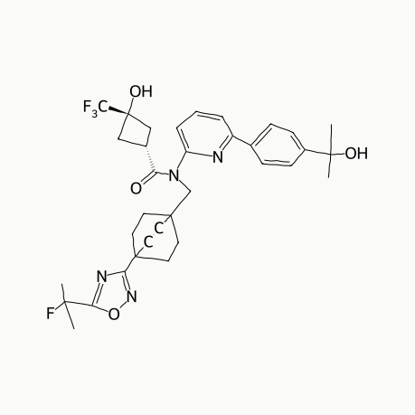 CC(C)(O)c1ccc(-c2cccc(N(CC34CCC(c5noc(C(C)(C)F)n5)(CC3)CC4)C(=O)[C@H]3C[C@](O)(C(F)(F)F)C3)n2)cc1